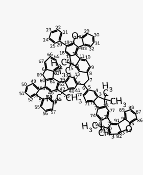 CC1(C)c2cc(C(Cc3ccc4c(c3)C(C)(C)c3cc(-c5ccccc5)c5oc6ccccc6c5c3-4)c3ccc4c(c3)C(C)(C)c3cc(-c5ccccc5-c5ccccc5)c5c(c3-4)-c3ccccc3C5)ccc2-c2cc3c(cc21)-c1c(ccc2oc4ccccc4c12)C3(C)C